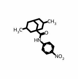 CC1CC2CC(C)CC(C(=O)Nc3ccc([N+](=O)[O-])cc3)(C1)C2